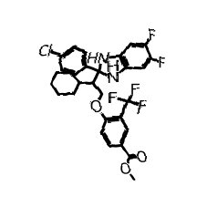 COC(=O)c1ccc(OCC(C2CCCCC2)C2(c3ccc(Cl)cc3)Nc3cc(F)c(F)cc3N2)c(C(F)(F)F)c1